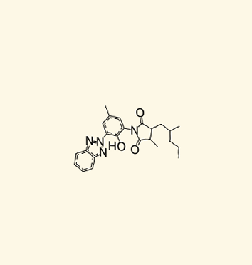 CCCC(C)CC1C(=O)N(c2cc(C)cc(-n3nc4ccccc4n3)c2O)C(=O)C1C